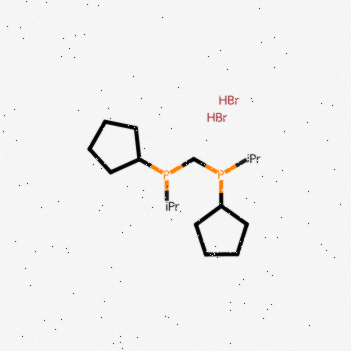 Br.Br.CC(C)P(CP(C(C)C)C1CCCC1)C1CCCC1